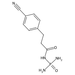 N#Cc1ccc(CCC(=O)NP(N)(N)=O)cc1